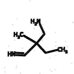 CCC(C)(C=N)CN